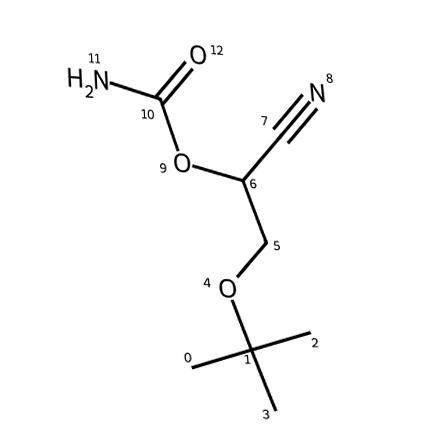 CC(C)(C)OCC(C#N)OC(N)=O